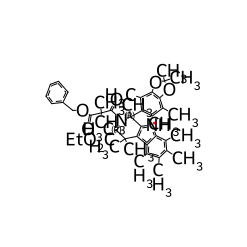 CCOC(=O)[C@]1(C)N(C(=O)C(C)(C)C(=O)OCc2ccccc2)[C@](C)(c2c(C)c(C)c3c(c2C)OC(C)(C)O3)c2[nH]c3c(C)c(C)c(C)c(C)c3c2C1(C)C